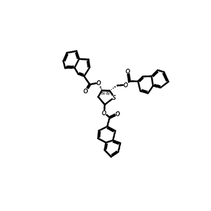 O=C(OC[C@@H]1SC(OC(=O)c2ccc3ccccc3c2)C[C@@H]1OC(=O)c1ccc2ccccc2c1)c1ccc2ccccc2c1